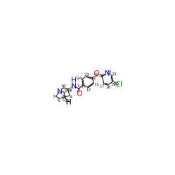 O=C(N[C@@H]1C[C@@H]2CCN(C2)C1)c1ccc(Oc2ccc(Cl)cn2)cc1